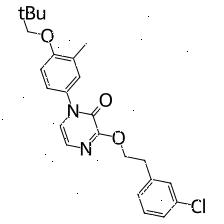 Cc1cc(-n2ccnc(OCCc3cccc(Cl)c3)c2=O)ccc1OCC(C)(C)C